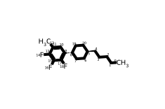 CCCCC[C@H]1CC[C@H](c2cc(C)c(F)c(F)c2F)CC1